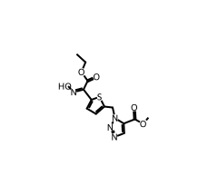 CCOC(=O)C(=NO)c1ccc(Cn2nncc2C(=O)OC)s1